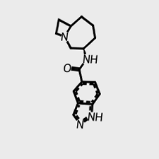 O=C(N[C@@H]1CCCC2CCN2C1)c1ccc2[nH]ncc2c1